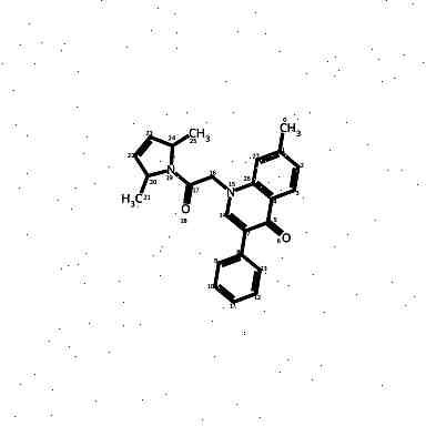 Cc1ccc2c(=O)c(-c3ccccc3)cn(CC(=O)N3C(C)C=CC3C)c2c1